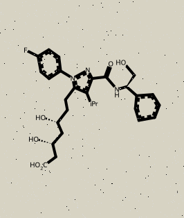 CC(C)c1c(C(=O)N[C@@H](CO)c2ccccc2)nn(-c2ccc(F)cc2)c1CC[C@@H](O)C[C@@H](O)CC(=O)O